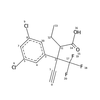 C#CC(c1cc(Cl)cc(Cl)c1)(C(CC)C(=O)O)C(F)(F)F